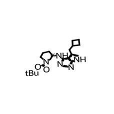 CC(C)(C)OC(=O)N1CCC[C@@H](Nc2ncnc3[nH]cc(CC4CCC4)c23)C1